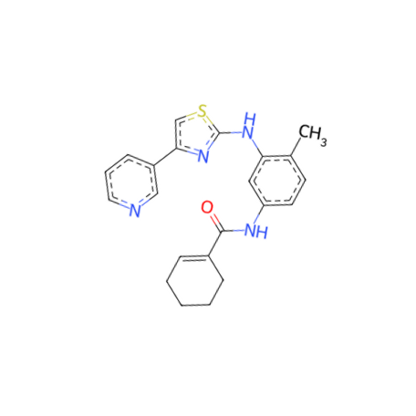 Cc1ccc(NC(=O)C2=CCCCC2)cc1Nc1nc(-c2cccnc2)cs1